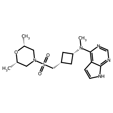 C[C@@H]1CN(S(=O)(=O)C[C@H]2C[C@@H](N(C)c3ncnc4[nH]ccc34)C2)C[C@H](C)O1